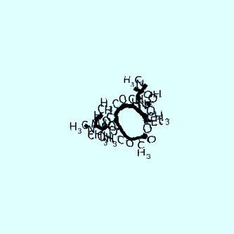 CC[C@H]1OC(=O)[C@H](C)C(=O)[C@H](C)[C@@H](O[C@@H]2O[C@H](C)C[C@H](N(C)C)[C@H]2O)[C@](C)(OC)C[C@@H](C)C(=O)[C@H](C)[C@H]2N(CC3(O)CN(C)C3)C(=O)O[C@]12C